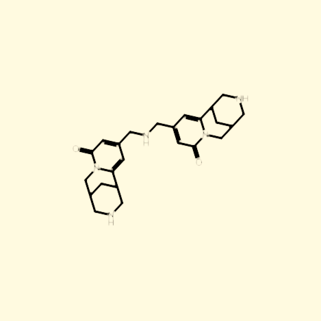 O=c1cc(CNCc2cc3n(c(=O)c2)CC2CNCC3C2)cc2n1CC1CNCC2C1